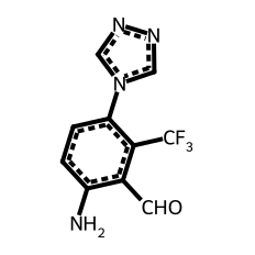 Nc1ccc(-n2cnnc2)c(C(F)(F)F)c1C=O